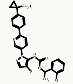 CC(OC(=O)Nc1c(F)cnn1-c1ccc(-c2ccc(C3(C(=O)O)CC3)cc2)nc1)c1ccccc1Cl